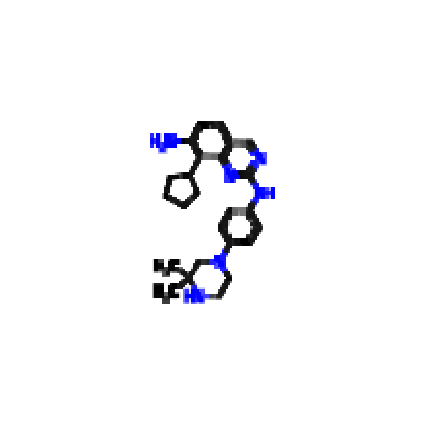 CC1(C)CN(c2ccc(Nc3ncc4ccc(N)c(C5CCCC5)c4n3)cc2)CCN1